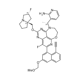 C#Cc1cccc2cc(OCOC)cc(-c3nc4c5c(nc(OC[C@@]67CCCN6C[C@H](F)C7)nc5c3F)N([C@H](C)c3cccnc3N)CCO4)c12